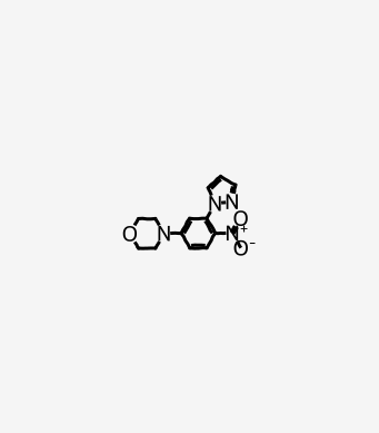 O=[N+]([O-])c1ccc(N2CCOCC2)cc1-n1cccn1